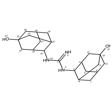 N=C(NC1C2CC3CC1CC(O)(C3)C2)NC1C2CC3CC1CC(O)(C3)C2